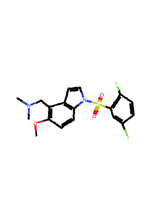 COc1ccc2c(ccn2S(=O)(=O)c2cc(F)ccc2F)c1CN(C)C